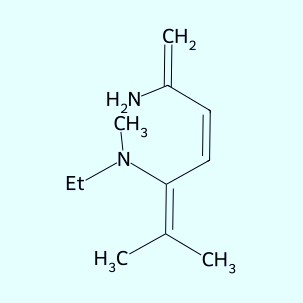 C=C(N)/C=C\C(=C(C)C)N(C)CC